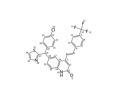 O=c1cc(/C=C/c2ccc(C(F)(F)F)cc2)c2cc(C(c3ccc(Cl)cc3)c3nccs3)ccc2[nH]1